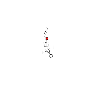 COC1CN(CC23CC(C2)N(c2nccc(Nc4cc(C5CCCC5)[nH]n4)n2)C3)C1